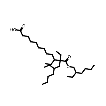 CCCCC(CC)COC(=O)C(CC)(CC(CC)CCCC)C(CC)CCCCCCCCC(=O)O